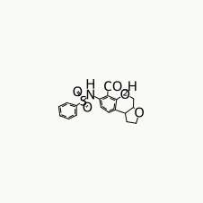 O=C(O)c1c(NS(=O)(=O)c2ccccc2)ccc2c1OCC1OCCC21